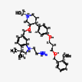 COc1ccccc1COCCCOc1ccc(C2CCN(C(=O)O)CC2OCc2ccc3c(c2)N(CCN)CC3(C)C)cc1